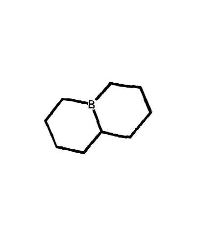 C1CCC2CCCCB2C1